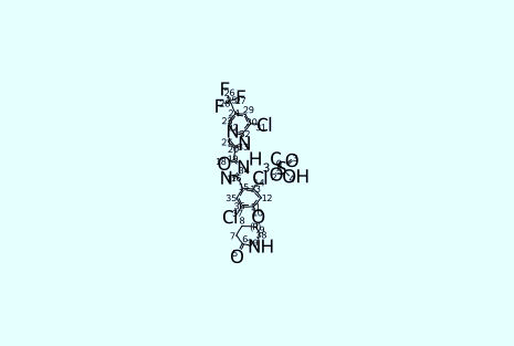 CS(=O)(=O)O.O=C1CC[C@@H](Oc2cc(Cl)c(-c3noc(-c4cn5cc(C(F)(F)F)cc(Cl)c5n4)n3)cc2Cl)CN1